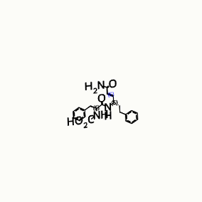 NC(=O)/C=C/[C@H](CCc1ccccc1)NC(=O)[C@H](Cc1ccccc1)NC(=O)O